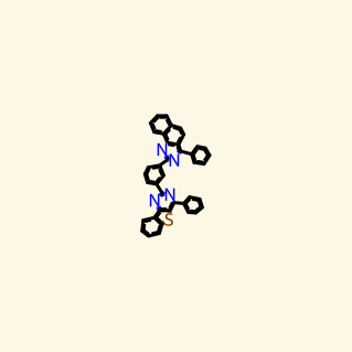 c1ccc(-c2nc(-c3cccc(-c4nc(-c5ccccc5)c5sc6ccccc6c5n4)c3)nc3c2ccc2ccccc23)cc1